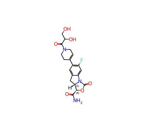 NC(=O)[C@@H]1OC(=O)N2c3cc(F)c(C4=CCN(C(=O)C(O)CO)CC4)cc3C[C@@H]12